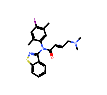 Cc1cc(N(C(=O)/C=C/CN(C)C)c2nsc3ccccc23)c(C)cc1I